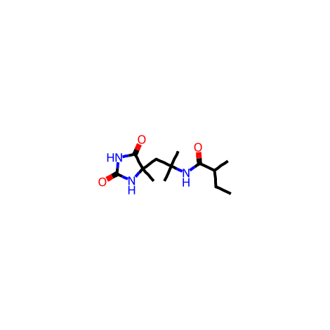 CCC(C)C(=O)NC(C)(C)CC1(C)NC(=O)NC1=O